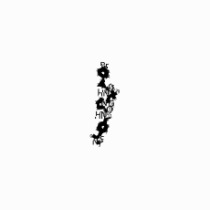 Cc1ncsc1-c1ccc([C@H](C)NC(=O)[C@@H]2CCCN2C(=O)C(NC(=O)[C@@H]2C[C@@H]2c2ccc(Br)cc2)C(C)(C)C)cc1